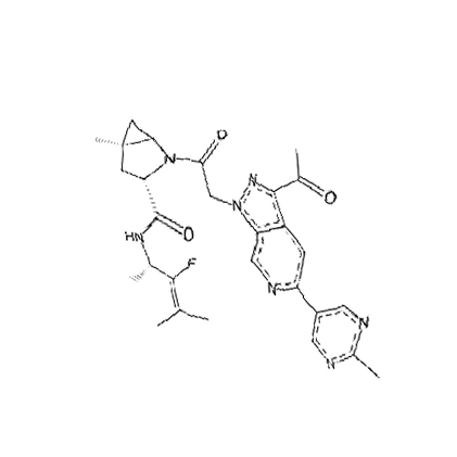 CC(=O)c1nn(CC(=O)N2C3C[C@]3(C)C[C@H]2C(=O)N[C@@H](C)C(F)=C(C)C)c2cnc(-c3cnc(C)nc3)cc12